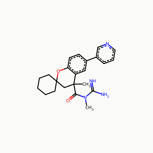 CN(C(=N)N)C(=O)C1(C)CC2(CCCCC2)Oc2ccc(-c3cccnc3)cc21